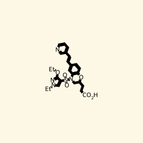 CCOc1nn(CC)cc1S(=O)(=O)N1CC(CCC(=O)O)Oc2ccc(C=Cc3cccnc3)cc21